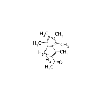 CC(=O)/C(C)=C(\C)c1c(C)c(C)c(C)c(C)c1C